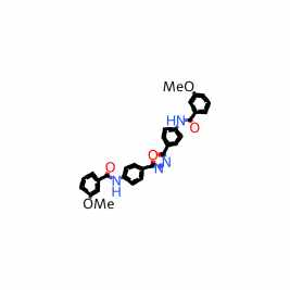 COc1cccc(C(=O)Nc2ccc(-c3nnc(-c4ccc(NC(=O)c5cccc(OC)c5)cc4)o3)cc2)c1